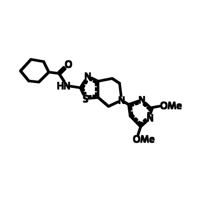 COc1cc(N2CCc3nc(NC(=O)C4CCCCC4)sc3C2)nc(OC)n1